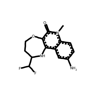 Cn1c(=O)c2c(c3cc(N)ccc31)NC(C(F)F)CCO2